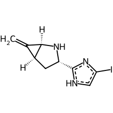 C=C1[C@H]2N[C@H](c3nc(I)c[nH]3)C[C@@H]12